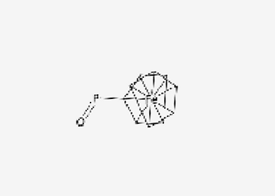 O=P[C]12[CH]3[CH]4[CH]5[CH]1[Fe]45321678[CH]2[CH]1[CH]6[CH]7[CH]28